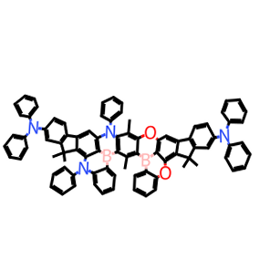 Cc1c2c(c(C)c3c1B1c4ccccc4N(c4ccccc4)c4c1c(cc1c4C(C)(C)c4cc(N(c5ccccc5)c5ccccc5)ccc4-1)N3c1ccccc1)Oc1cc3c(c4c1B2c1ccccc1O4)C(C)(C)c1cc(N(c2ccccc2)c2ccccc2)ccc1-3